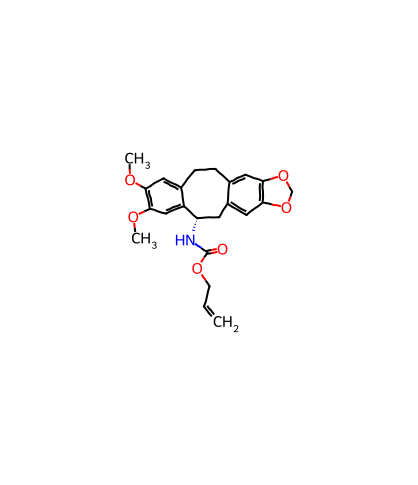 C=CCOC(=O)N[C@H]1Cc2cc3c(cc2CCc2cc(OC)c(OC)cc21)OCO3